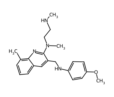 CNCCN(C)c1nc2c(C)cccc2cc1CNc1ccc(OC)cc1